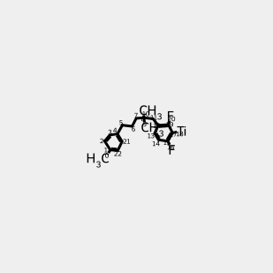 Cc1ccc(CCCC(C)(C)Cc2ccc(F)[c]([Ti])c2F)cc1